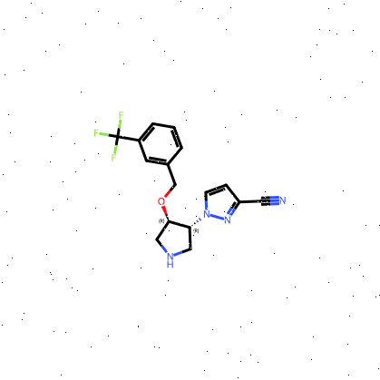 N#Cc1ccn([C@@H]2CNC[C@H]2OCc2cccc(C(F)(F)F)c2)n1